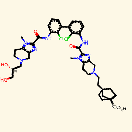 Cn1c(C(=O)Nc2cccc(-c3cccc(NC(=O)c4nc5c(n4C)CCN(C[C@@H](O)CO)C5)c3Cl)c2Cl)nc2c1CCN(CCC13CCC(C(=O)O)(CC1)C3)C2